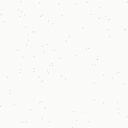 CCCCCCc1ccc2cc(C=Cc3ccc4cc5cc(CCCCCC)ccc5cc4c3)ccc2c1